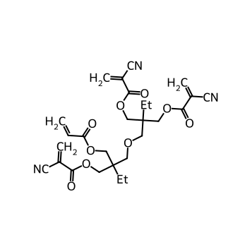 C=CC(=O)OCC(CC)(COCC(CC)(COC(=O)C(=C)C#N)COC(=O)C(=C)C#N)COC(=O)C(=C)C#N